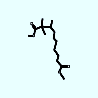 COC(=O)CCCCCCC(C)C(C)(C)C(=O)OC